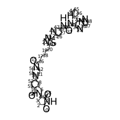 O=C1CCC(N2Cc3cc(N4CCN(C(=O)CCCCCc5nnc(-c6ccc(NC(=O)Nc7cnc8ccnn8c7C7CCCC7)cn6)s5)CC4)ccc3C2=O)C(=O)N1